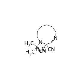 CC(C)(C#N)N1CCCCCCN=CC1(C)C#N